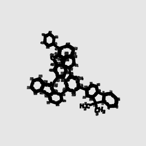 CC1(C)c2ccccc2-c2ccc(-c3nc(-c4ccccc4)nc(-c4cccc5c6ccccc6n(-c6ccc7c(c6)oc6c(-c8ccccc8)cccc67)c45)n3)cc21